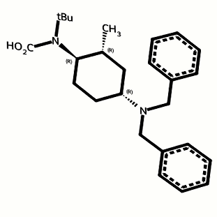 C[C@@H]1C[C@H](N(Cc2ccccc2)Cc2ccccc2)CC[C@H]1N(C(=O)O)C(C)(C)C